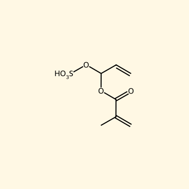 C=CC(OC(=O)C(=C)C)OS(=O)(=O)O